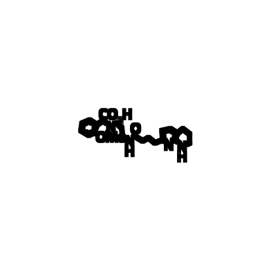 COc1ccccc1C(C(=O)O)N1CCC(NC(=O)CCCc2ccc3c(n2)NCCC3)CC1